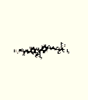 C=C(C)C(=O)OCCCOc1ccc(C(=O)Oc2ccc(/C=C/C(=O)OC)cc2OC)cc1